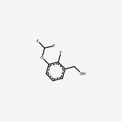 OCc1cccc(OC(F)F)c1F